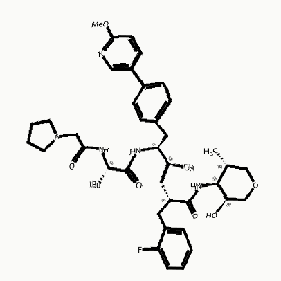 COc1ccc(-c2ccc(C[C@H](NC(=O)[C@@H](NC(=O)CN3CCCC3)C(C)(C)C)[C@@H](O)C[C@@H](Cc3ccccc3F)C(=O)N[C@H]3[C@H](C)COC[C@H]3O)cc2)cn1